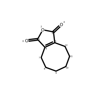 O=C1OC(=O)C2=C1CCCCCC2